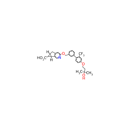 CC(C)(O)CCOc1ccc(-c2cccc(COc3cc4c(cn3)[C@H]3[C@@H](C4)[C@@H]3C(=O)O)c2)c(C(F)(F)F)c1